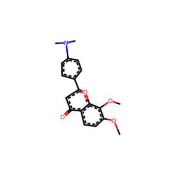 COc1ccc2c(=O)cc(-c3ccc(N(C)C)cc3)oc2c1OC